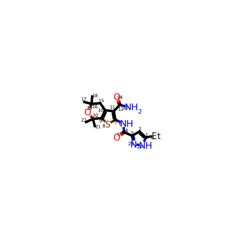 CCc1cc(C(=O)Nc2sc3c(c2C(N)=O)CC(C)(C)OC3(C)C)n[nH]1